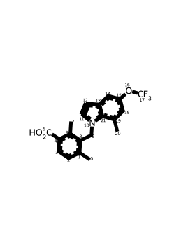 Cc1ccc(C(=O)O)c(C)c1Cn1c#cc2cc(OC(F)(F)F)cc(C)c21